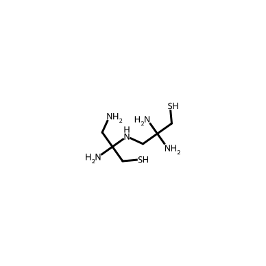 NCC(N)(CS)NCC(N)(N)CS